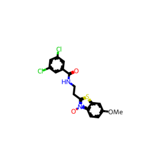 COc1ccc2c(c1)sc(CCNC(=O)c1cc(Cl)cc(Cl)c1)[n+]2[O-]